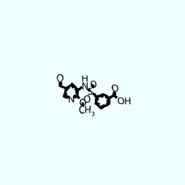 COc1ncc(C=O)cc1NS(=O)(=O)c1cccc(C(=O)O)c1